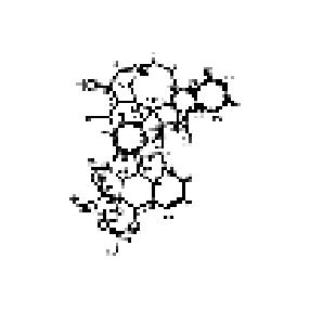 CCC1C(O)CN2CCc3c([nH]c4ccccc34)C(C(=O)OC)(c3ccc4c(c3)C35CCN6CC=CC(C(OC(C)=O)C(O)(C(=O)OC)C3N4C)C65)C1C2